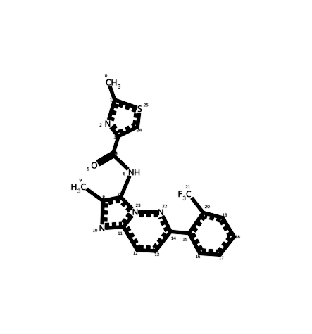 Cc1nc(C(=O)Nc2c(C)nc3ccc(-c4ccccc4C(F)(F)F)nn23)cs1